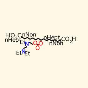 CCCCCCCCCC(CCCCCCC)(CCCCCCC(CCCCCCC(CCCCCCC)(CCCCCCCCC)C(=O)O)OC(=O)OCCN(CC)CCN(CC)CC)C(=O)O